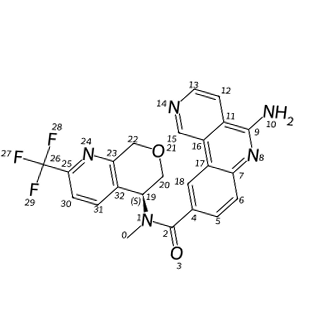 CN(C(=O)c1ccc2nc(N)c3ccncc3c2c1)[C@@H]1COCc2nc(C(F)(F)F)ccc21